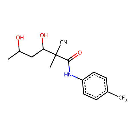 CC(O)CC(O)C(C)(C#N)C(=O)Nc1ccc(C(F)(F)F)cc1